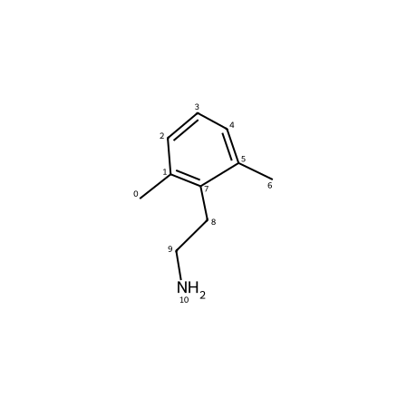 Cc1cccc(C)c1CCN